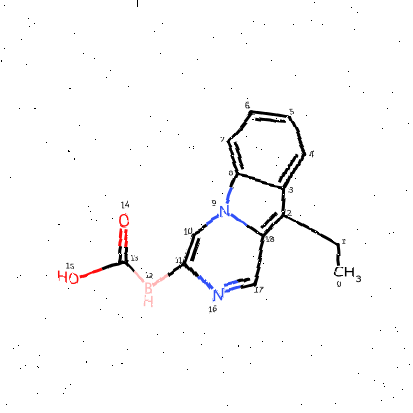 CCc1c2ccccc2n2cc(BC(=O)O)ncc12